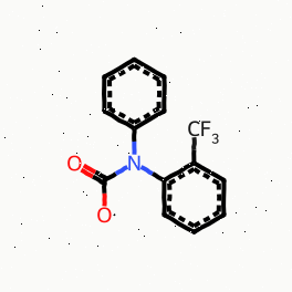 [O]C(=O)N(c1ccccc1)c1ccccc1C(F)(F)F